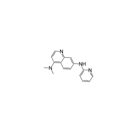 CN(C)c1ccnc2cc(Nc3ccccn3)ccc12